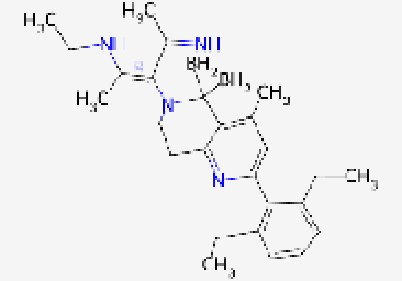 BC1(B)c2c(C)cc(-c3c(CC)cccc3CC)nc2CCN1/C(C(C)=N)=C(\C)NCC